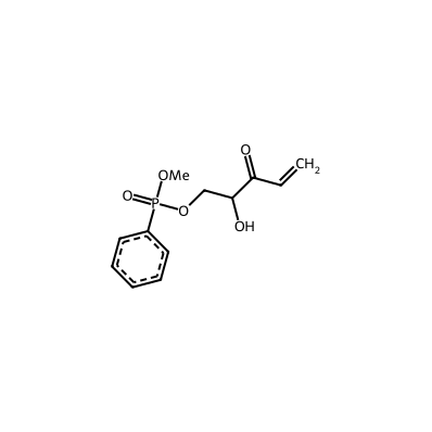 C=CC(=O)C(O)COP(=O)(OC)c1ccccc1